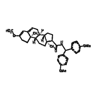 COc1ccc(C(NC(=O)C2CC[C@H]3[C@@H]4CC=C5C=C(OC(=O)O)CC[C@]5(C)[C@H]4CC[C@]23C)c2ccc(OC)cc2)cc1